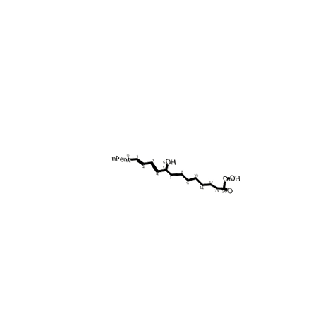 CCCCCC=CC=CC(O)CCCCCCCC(=O)OO